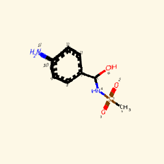 CS(=O)(=O)NC(O)c1ccc(N)cc1